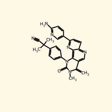 C=C1c2cnc3ccc(-c4ccc(N)nc4)nc3c2N(c2ccc(C(C)(C)C#N)cc2)C(=O)N1C